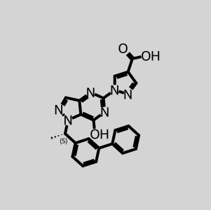 C[C@@H](c1cccc(-c2ccccc2)c1)n1ncc2nc(-n3cc(C(=O)O)cn3)nc(O)c21